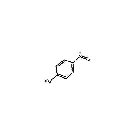 CC(C)(C)c1ccc([SH]=S)cc1